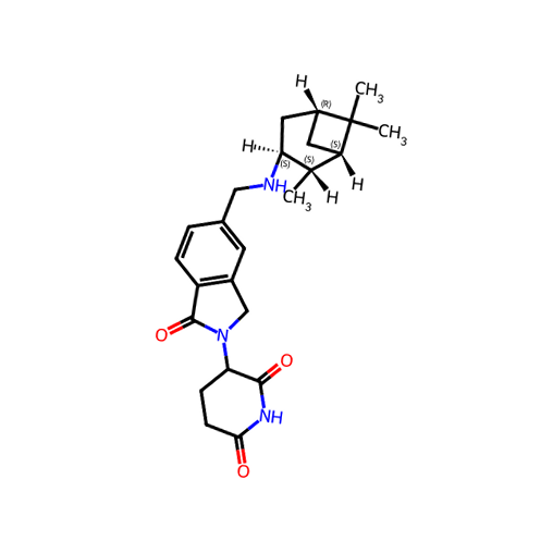 C[C@@H]1[C@@H](NCc2ccc3c(c2)CN(C2CCC(=O)NC2=O)C3=O)C[C@H]2C[C@@H]1C2(C)C